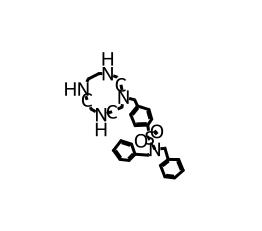 O=S(=O)(c1ccc(CN2CCNCCNCCNCC2)cc1)N(Cc1ccccc1)Cc1ccccc1